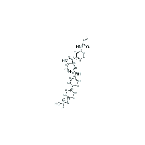 C=CC(=O)Nc1cccc(-c2n[nH]c3cnc(Nc4ccc(N5CCN(CC(C)(C)O)CC5)cc4)nc23)c1